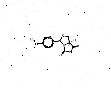 CCOc1ccc(C2SC[C@H]3C(=O)NC(=O)N23)cc1